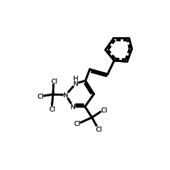 ClC(Cl)(Cl)C1=NN(C(Cl)(Cl)Cl)NC(C=Cc2ccccc2)=C1